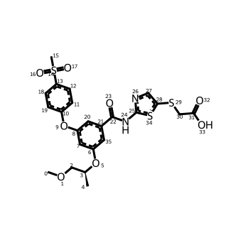 COC[C@H](C)Oc1cc(Oc2ccc(S(C)(=O)=O)cc2)cc(C(=O)Nc2ncc(SCC(=O)O)s2)c1